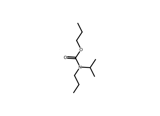 CCCOC(=O)N(CCC)C(C)C